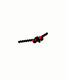 CCCCCCCCCCCCCCCCN1C=CN(CCCCCCCCC)C1(Cc1ccccc1)C(CC)c1ccccc1